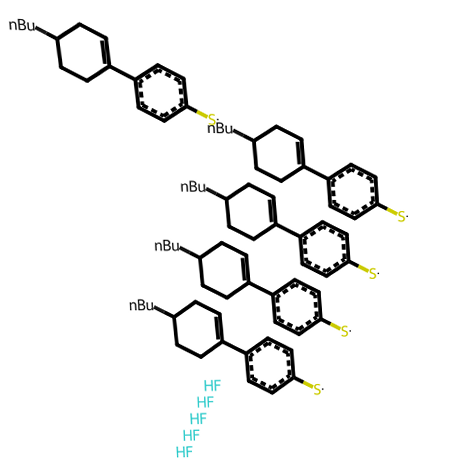 CCCCC1CC=C(c2ccc([S])cc2)CC1.CCCCC1CC=C(c2ccc([S])cc2)CC1.CCCCC1CC=C(c2ccc([S])cc2)CC1.CCCCC1CC=C(c2ccc([S])cc2)CC1.CCCCC1CC=C(c2ccc([S])cc2)CC1.F.F.F.F.F